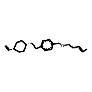 C=C[C@H]1CC[C@H](CCc2ccc(COCCC=CC)cc2)CC1